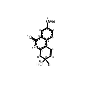 COc1ccc2c3c(oc(=O)c2c1)CC(C)(O)C=C3